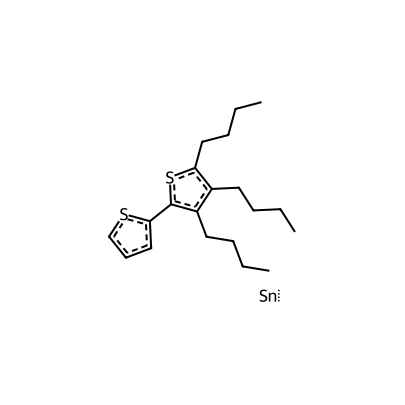 CCCCc1sc(-c2cccs2)c(CCCC)c1CCCC.[Sn]